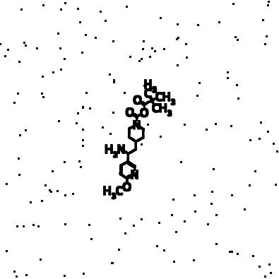 COc1ccc(C(N)CC2CCN(C(=O)OC(=O)C(C)(C)C)CC2)cn1